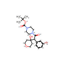 CC(C)(C)OC(=O)N1CCN(C(=O)C(c2cccc(Br)c2)C2(O)CCOCC2)CC1